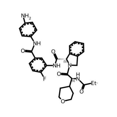 C[CH]C(=O)N[C@H](C(=O)N1Cc2ccccc2[C@H]1C(=O)Nc1cc(C(=O)Nc2ccc(N)cc2)ccc1F)C1CCOCC1